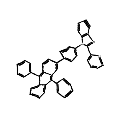 c1ccc2c(c#1)nc(-c1ccccn1)n2-c1ccc(-c2ccc3c(-c4ccccc4)c4ccccc4c(-c4ccccc4)c3c2)cc1